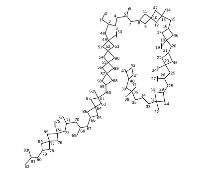 CCC(CCC(C)CC1CC2(C1)CC(C)(CC1CC(I)(CC3CC(I)(CC(I)CC4CC(C)(CCCC(C)(C)CC5CCC5)C4)C3)C1)C2)CC1(I)CC2(C1)CC1(CC3(CC(CC4(C)CC5(CC(CC(C)CC(C)CC6(I)CC7(CC(CC(C)C)C7)C6)C5)C4)C3)C1)C2